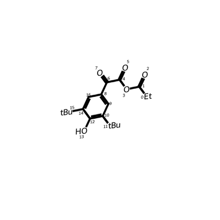 CCC(=O)OC(=O)C(=O)c1cc(C(C)(C)C)c(O)c(C(C)(C)C)c1